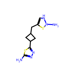 Nc1nnc(C2CC(CC3=CNN(N)S3)C2)s1